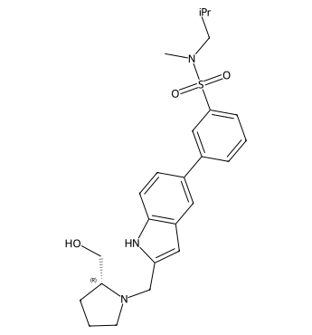 CC(C)CN(C)S(=O)(=O)c1cccc(-c2ccc3[nH]c(CN4CCC[C@@H]4CO)cc3c2)c1